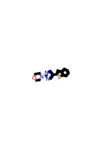 c1ccc2sc(-c3cnc([N+]4CCOCC4)nc3)cc2c1